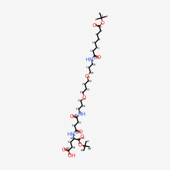 CC(C)(C)OC(=O)CCCCCCC(=O)NCCCOCCCCOCCCNC(=O)CCC(=O)NC(CCC(=O)O)C(=O)OC(C)(C)C